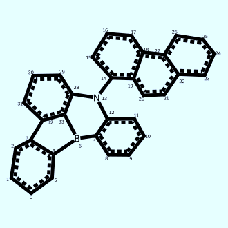 c1ccc2c(c1)B1c3ccccc3N(c3cccc4c3ccc3ccccc34)c3cccc-2c31